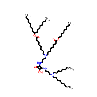 CCCCCCCCCOC(=O)CCCCCCCN(CCCCCCCC(=O)OC(CCCCCCCC)CCCCCCCC)CCCNC1=C(NCCCN(CCCCCCCC)CCCCCCCC)C(O)C1=O